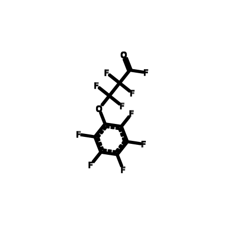 O=C(F)C(F)(F)C(F)(F)Oc1c(F)c(F)c(F)c(F)c1F